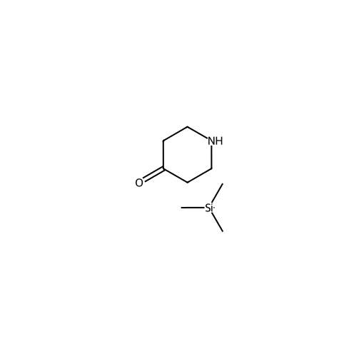 C[Si](C)C.O=C1CCNCC1